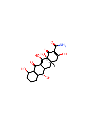 NC(=O)C1=C(O)C[C@@H]2CC3C(=C(O)[C@]2(O)C1=O)C(=O)C1C(O)CCCC1[C@H]3O